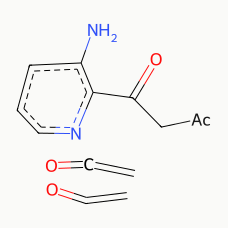 C=C=O.C=C=O.CC(=O)CC(=O)c1ncccc1N